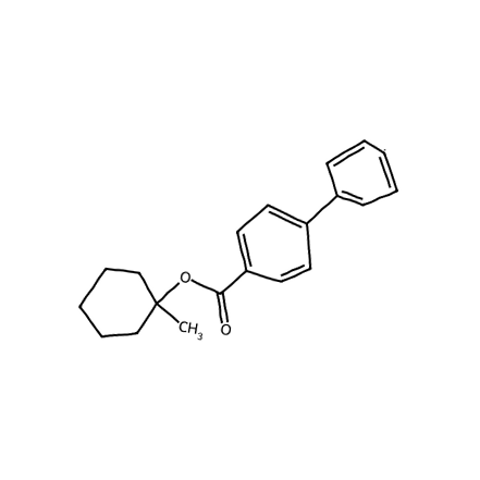 CC1(OC(=O)c2ccc(-c3cc[c]cc3)cc2)CCCCC1